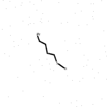 CCSCCCCC(C)C